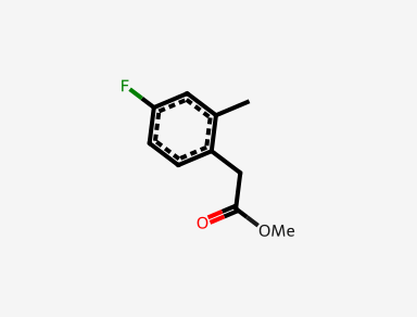 COC(=O)Cc1ccc(F)cc1C